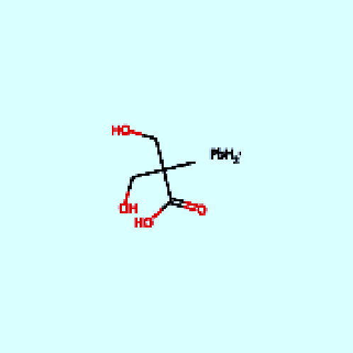 CC(CO)(CO)C(=O)O.[PbH2]